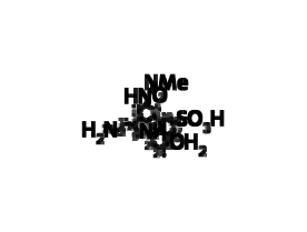 CNC(=O)Nc1ccc2[nH]cc(CCN)c2c1.O.O=S(=O)(O)c1ccc2ccccc2c1